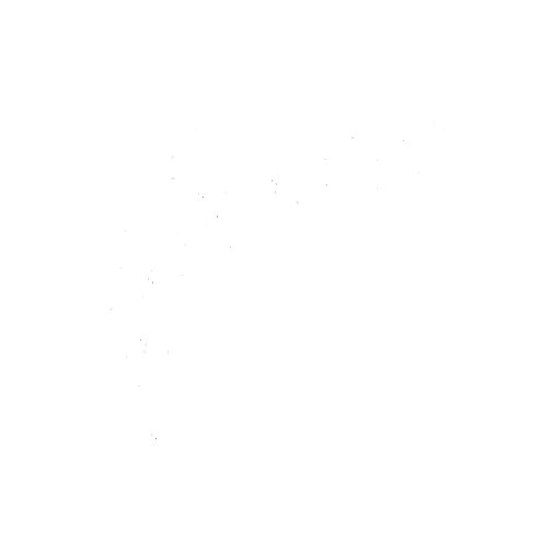 CC(F)(F)c1ccc(CNC(=O)[C@H]2COCCN2C(=O)[C@H]2CCCN(S(=O)(=O)N3CC(C#N)C3)C2)cc1